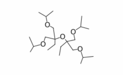 CCC(COC(C)C)(COC(C)C)OC(CC)(COC(C)C)COC(C)C